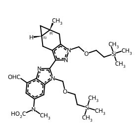 CN(C(=O)O)c1cc(C=O)c2nc(-c3nn(COCC[Si](C)(C)C)c4c3C[C@@H]3C[C@]3(C)C4)n(COCC[Si](C)(C)C)c2c1